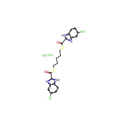 Cl.Cl.O=C(SCCCCCSC(=O)c1nc2cc(Cl)ccc2[nH]1)c1nc2cc(Cl)ccc2[nH]1